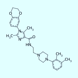 Cc1cccc(N2CCN(CCNC(=O)c3nc(C)n(-c4ccc5c(c4)OCCO5)c3C)CC2)c1C